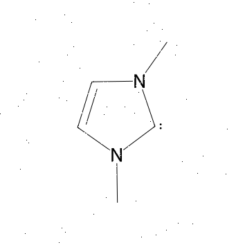 CN1[C]N(C)C=C1